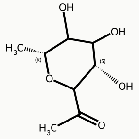 CC(=O)C1O[C@H](C)C(O)C(O)[C@@H]1O